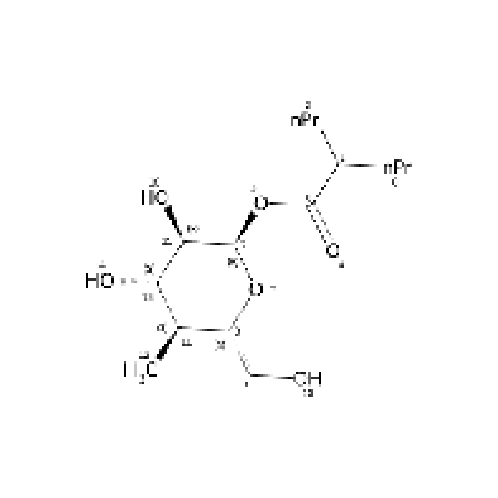 CCCC(CCC)C(=O)O[C@H]1O[C@H](CO)[C@@H](C)[C@H](O)[C@H]1O